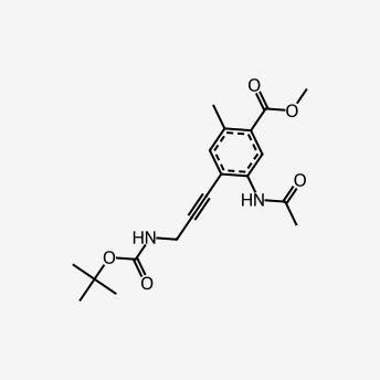 COC(=O)c1cc(NC(C)=O)c(C#CCNC(=O)OC(C)(C)C)cc1C